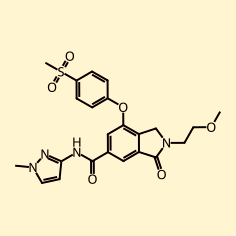 COCCN1Cc2c(Oc3ccc(S(C)(=O)=O)cc3)cc(C(=O)Nc3ccn(C)n3)cc2C1=O